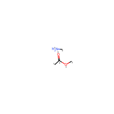 CN.COC(C)=O